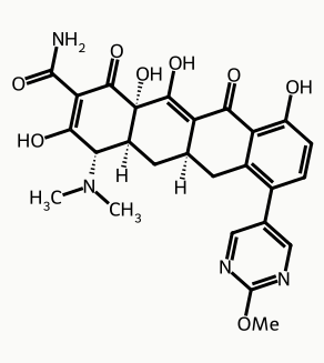 COc1ncc(-c2ccc(O)c3c2C[C@H]2C[C@H]4[C@H](N(C)C)C(O)=C(C(N)=O)C(=O)[C@@]4(O)C(O)=C2C3=O)cn1